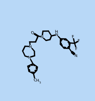 Cc1ccc(N2CCCN(CCC(=O)N3CCC(Nc4ccc(C#N)c(C(F)(F)F)c4)CC3)CC2)cc1